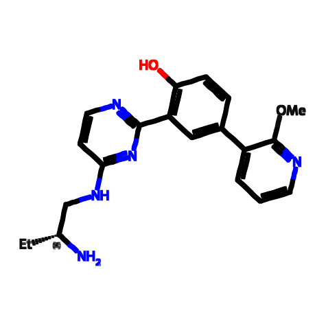 CC[C@@H](N)CNc1ccnc(-c2cc(-c3cccnc3OC)ccc2O)n1